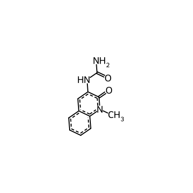 Cn1c(=O)c(NC(N)=O)cc2ccccc21